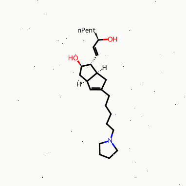 CCCCC[C@@H](O)/C=C/[C@@H]1[C@H]2CC(CCCCCN3CCCC3)=C[C@H]2C[C@H]1O